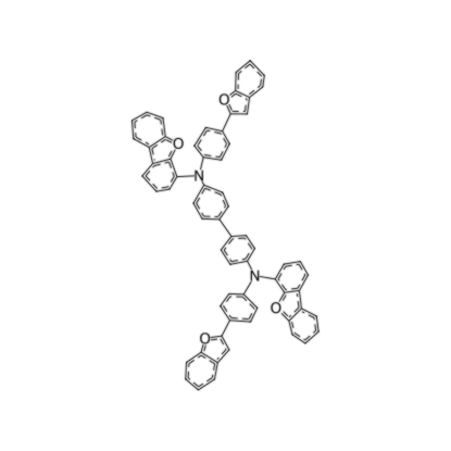 c1ccc2oc(-c3ccc(N(c4ccc(-c5ccc(N(c6ccc(-c7cc8ccccc8o7)cc6)c6cccc7c6oc6ccccc67)cc5)cc4)c4cccc5c4oc4ccccc45)cc3)cc2c1